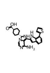 NC1=NC=CN2C1=C(c1cc3cccc(-c4cccs4)c3[nH]1)NC2[C@H]1CC[C@H](C(=O)O)CC1